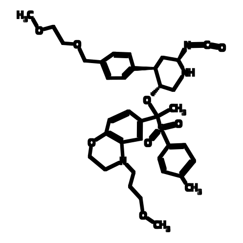 COCCCN1CCOc2ccc(C(C)(O[C@H]3CN[C@H](N=C=O)C[C@@H]3c3ccc(COCCOC)cc3)S(=O)(=O)c3ccc(C)cc3)cc21